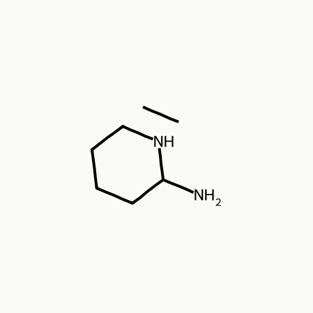 CC.NC1CCCCN1